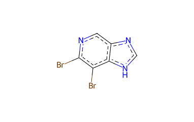 Brc1ncc2nc[nH]c2c1Br